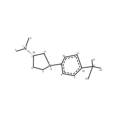 CN(C)[C@H]1CCN(c2ccc(C(C)(C)C)cc2)C1